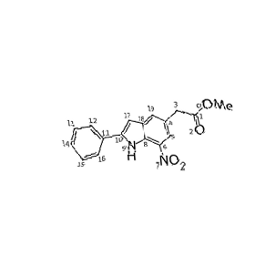 COC(=O)Cc1cc([N+](=O)[O-])c2[nH]c(-c3ccccc3)cc2c1